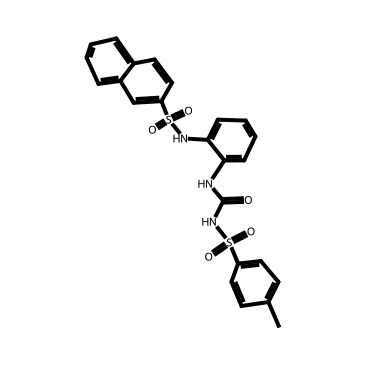 Cc1ccc(S(=O)(=O)NC(=O)Nc2ccccc2NS(=O)(=O)c2ccc3ccccc3c2)cc1